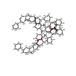 c1ccc(-c2ccc3oc4ccc(-c5ccc6c(c5)N(c5c(-c7ccccc7)cccc5-c5ccccc5)c5cc(-n7c8ccccc8c8ccccc87)cc7c5B6c5ccc(-c6ccc8oc9ccc(-c%10ccccc%10)cc9c8c6)cc5N7c5c(-c6ccccc6)cccc5-c5ccccc5)cc4c3c2)cc1